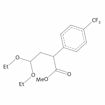 CCOC(CC(C(=O)OC)c1ccc(C(F)(F)F)cc1)OCC